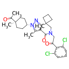 Cc1c(C(=O)N(CC(=O)c2c(Cl)cccc2Cl)CC2(C)CCC2)cnn1[C@H]1CC[C@](C)(C(C)=O)CC1